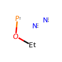 CCO[P].[N].[N]